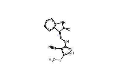 CSc1[nH]nc(N/C=C2\C(=O)Nc3ccccc32)c1C#N